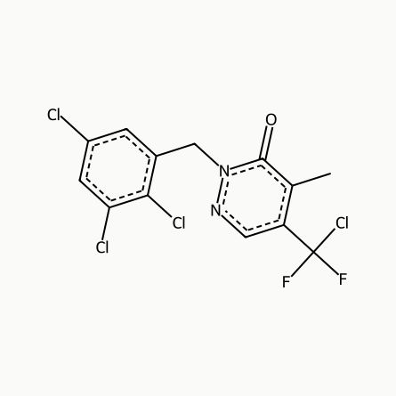 Cc1c(C(F)(F)Cl)cnn(Cc2cc(Cl)cc(Cl)c2Cl)c1=O